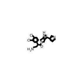 NCCC(C(=O)N1Cc2[nH]nc(-c3cccnc3)c2C1)c1ccc(Cl)c(Cl)c1